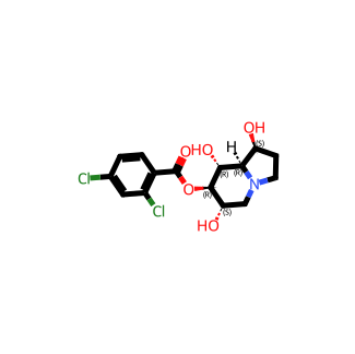 O=C(O[C@H]1[C@H](O)[C@H]2[C@@H](O)CCN2C[C@@H]1O)c1ccc(Cl)cc1Cl